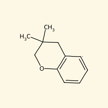 CC1(C)COc2ccc[c]c2C1